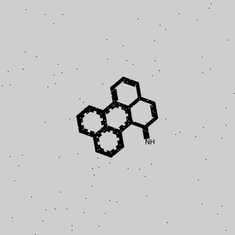 N=C1C=CC2C=CC=c3c2c1c1cccc2cccc3c21